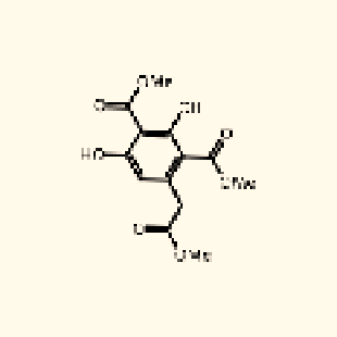 COC(=O)Cc1cc(O)c(C(=O)OC)c(O)c1C(=O)OC